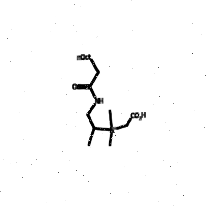 CCCCCCCCCC(=O)NCC(C)[N+](C)(C)CC(=O)O